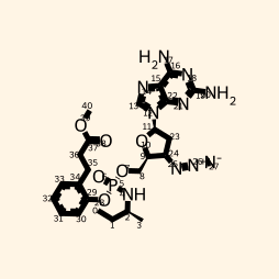 CC[C@H](C)NP(=O)(OC[C@H]1O[C@@H](n2cnc3c(N)nc(N)nc32)CC1N=[N+]=[N-])Oc1ccccc1CCC(=O)OC